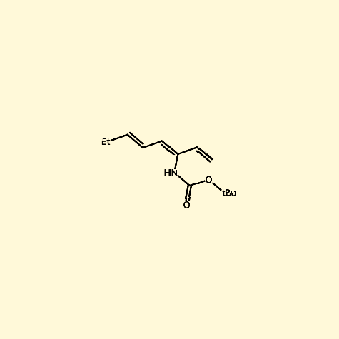 C=CC(=CC=CCC)NC(=O)OC(C)(C)C